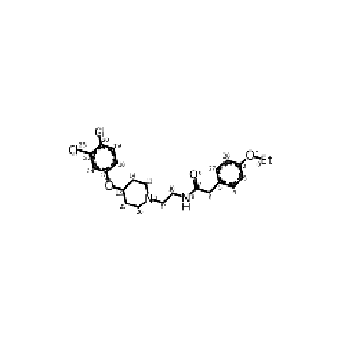 CCOc1ccc(CC(=O)NCCN2CCC(Oc3ccc(Cl)c(Cl)c3)CC2)cc1